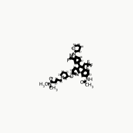 CC(=O)Nc1ccc(/C(CC(F)(F)F)=C(\c2ccc(O[C@@H]3CCCN(C/C=C/C(=O)N(C)C)C3)nc2)c2ccc3c(c2)c(F)nn3C2CCCCO2)cc1